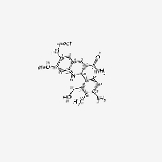 CCCCCCCCOc1cc2cc(C(N)=O)c(-c3ccc(N)c(C)c3CO)nc2cc1OC